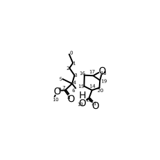 CCCCC(C)(C)C(=O)OC.O=C(O)C1CCC2OC2C1